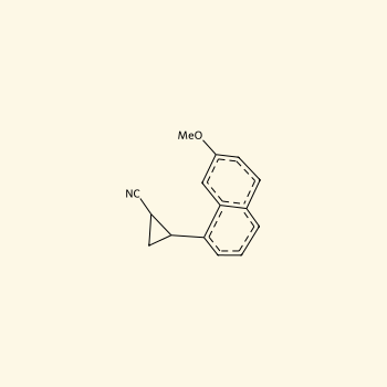 COc1ccc2cccc(C3CC3C#N)c2c1